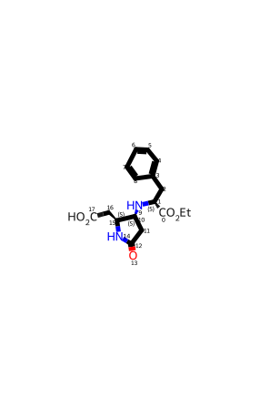 CCOC(=O)[C@H](Cc1ccccc1)N[C@H]1CC(=O)N[C@H]1CC(=O)O